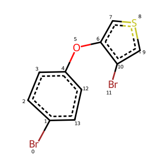 Brc1ccc(Oc2cs[c]c2Br)cc1